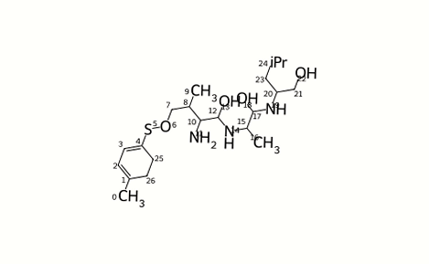 CC1=CC=C(SOCC(C)C(N)C(O)NC(C)C(O)NC(CO)CC(C)C)CC1